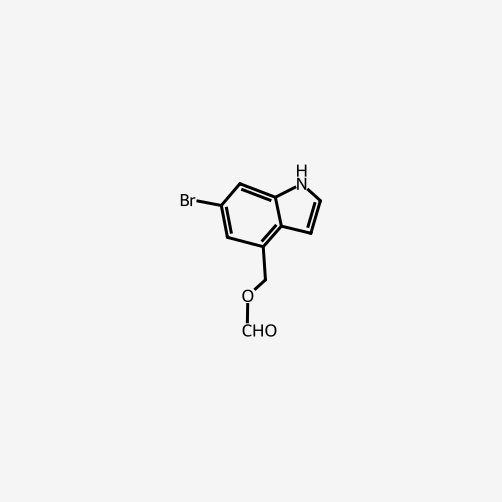 O=COCc1cc(Br)cc2[nH]ccc12